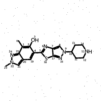 Cc1c(O)c(-c2nc3cn(C4CCNCC4)nc3s2)cc2cn(C)nc12